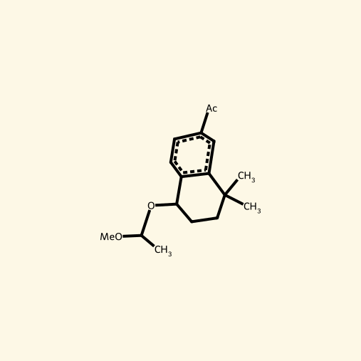 COC(C)OC1CCC(C)(C)c2cc(C(C)=O)ccc21